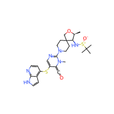 C[C@@H]1OCC2(CCN(C3=NC=C(Sc4ccnc5[nH]ccc45)C(=C=O)N3C)CC2)[C@@H]1N[S@+]([O-])C(C)(C)C